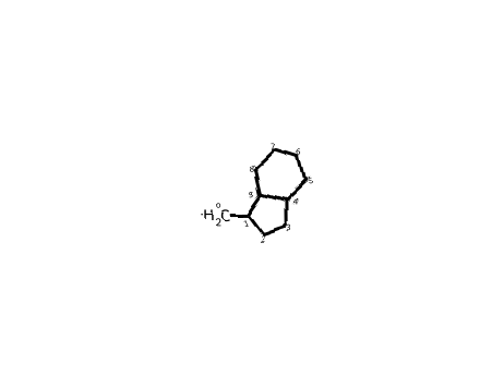 [CH2]C1CCC2CCCCC12